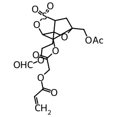 C=CC(=O)OCC(=O)OC1C2OS(=O)(=O)C3CC1(COC(C)=O)OC23CCOC=O